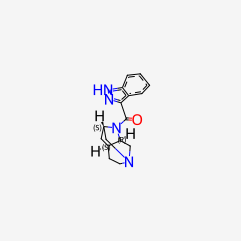 O=C(c1n[nH]c2ccccc12)N1[C@H]2C[C@@H]3CCN(C2)C[C@@H]31